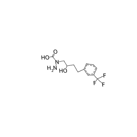 NN(CC(O)CCc1cccc(C(F)(F)F)c1)C(=O)O